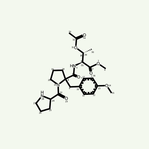 COC(=O)[C@@H](NC(=O)C1(Cc2ccc(OC)cc2)CCCN1C(=O)C1CCCN1)[C@@H](C)OC(C)=O